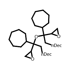 CCCCCCCCCCCC(OC(CCCCCCCCCCC)(C1CCCCCC1)C1CO1)(C1CCCCCC1)C1CO1